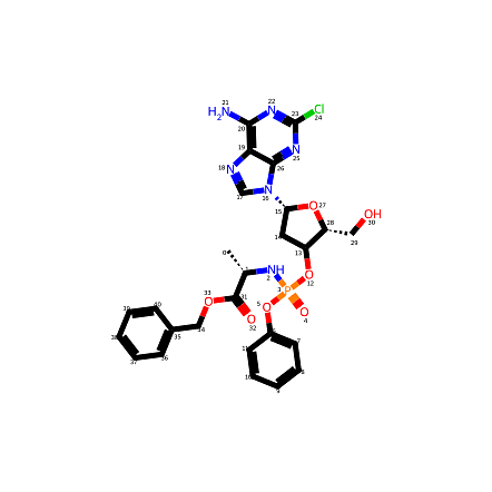 C[C@H](NP(=O)(Oc1ccccc1)OC1C[C@H](n2cnc3c(N)nc(Cl)nc32)O[C@@H]1CO)C(=O)OCc1ccccc1